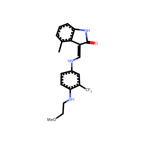 COCCNc1ccc(N/C=C2/C(=O)Nc3cccc(C)c32)cc1C(F)(F)F